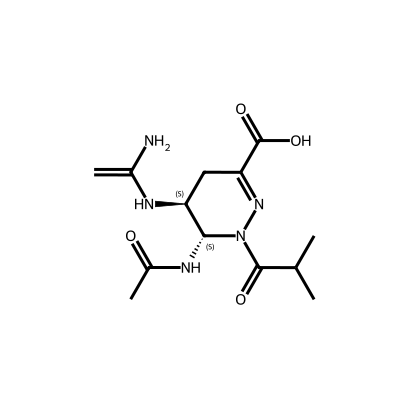 C=C(N)N[C@H]1CC(C(=O)O)=NN(C(=O)C(C)C)[C@@H]1NC(C)=O